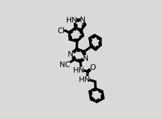 N#Cc1nc(-c2cc(Cl)c3[nH]ncc3c2)c(-c2ccccc2)nc1NC(=O)NCc1ccccc1